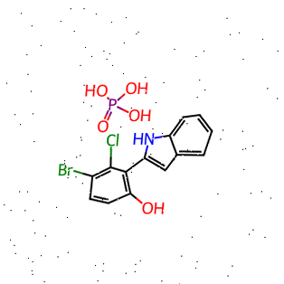 O=P(O)(O)O.Oc1ccc(Br)c(Cl)c1-c1cc2ccccc2[nH]1